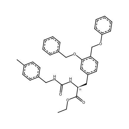 CCOC(=O)[C@H](Cc1ccc(COc2ccccc2)c(OCc2ccccc2)c1)NC(=O)NCc1ccc(C)cc1